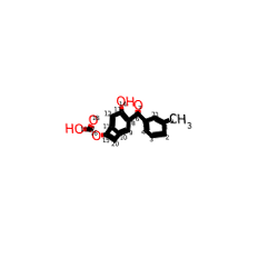 Cc1cccc(C(=O)c2cc3c(cc2O)C(OC(=O)O)=C3)c1